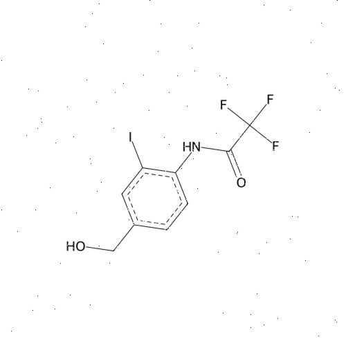 O=C(Nc1ccc(CO)cc1I)C(F)(F)F